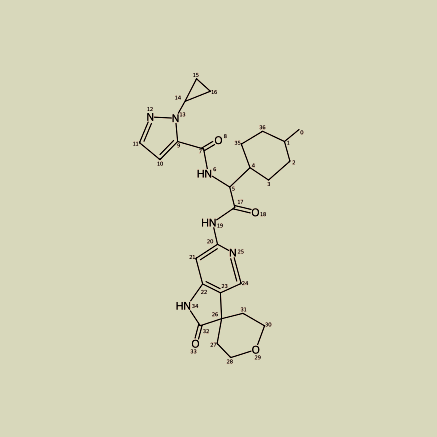 CC1CCC(C(NC(=O)c2ccnn2C2CC2)C(=O)Nc2cc3c(cn2)C2(CCOCC2)C(=O)N3)CC1